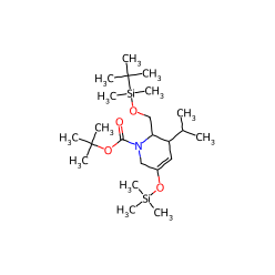 CC(C)C1C=C(O[Si](C)(C)C)CN(C(=O)OC(C)(C)C)C1CO[Si](C)(C)C(C)(C)C